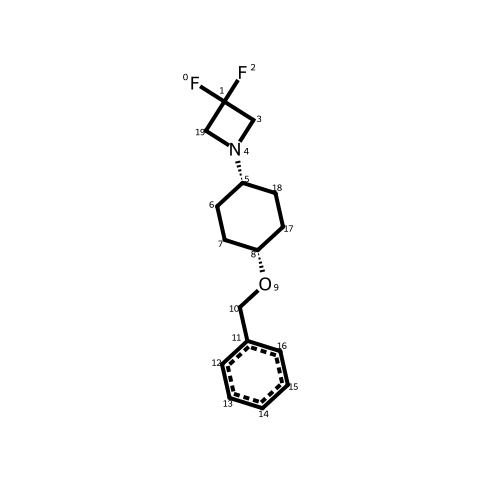 FC1(F)CN([C@H]2CC[C@@H](OCc3ccccc3)CC2)C1